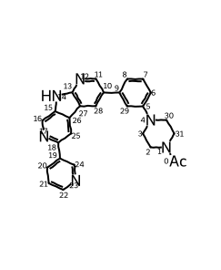 CC(=O)N1CCN(c2cccc(-c3cnc4[nH]c5cnc(-c6cccnc6)cc5c4c3)c2)CC1